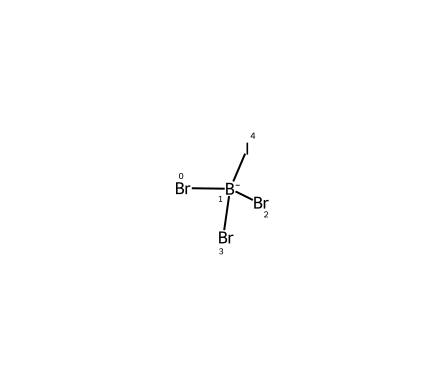 Br[B-](Br)(Br)I